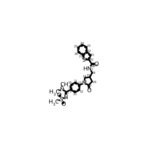 CN(C)/C(=N\S(C)(=O)=O)c1ccc(N2CC(CNC(=O)c3cc4ccccc4s3)CC2=O)cc1